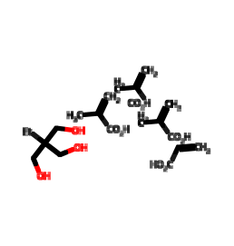 C=C(C)C(=O)O.C=C(C)C(=O)O.C=C(C)C(=O)O.C=CC(=O)O.CCC(CO)(CO)CO